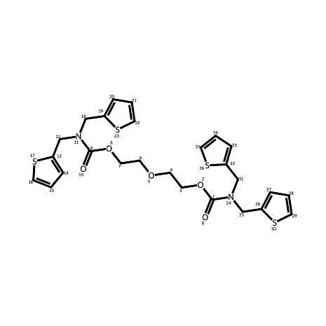 O=C(OCCOCCOC(=O)N(Cc1cccs1)Cc1cccs1)N(Cc1cccs1)Cc1cccs1